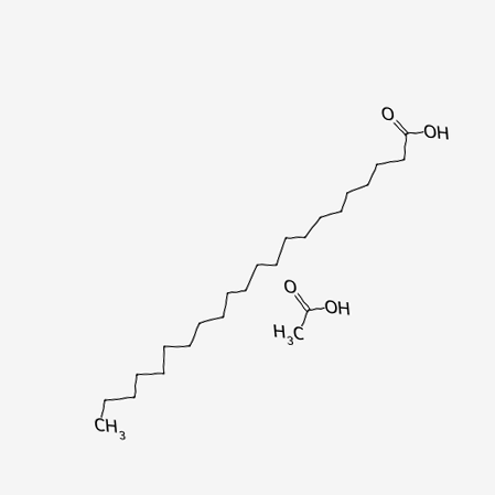 CC(=O)O.CCCCCCCCCCCCCCCCCCCCCC(=O)O